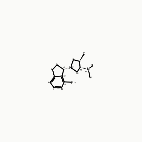 C[C@@H]1CN([C@H]2CCc3cccc(F)c32)C[C@H]1N(C)C